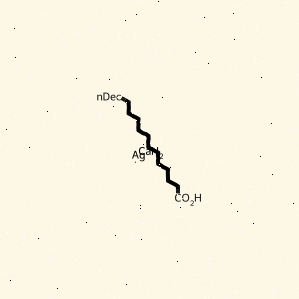 CCCCCCCCCCCCCCCCCCCCCC(=O)O.[Ag].[CaH2]